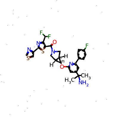 CC(C)(N)c1cc(O[C@@H]2[C@@H]3CN(C(=O)c4sc(-c5cscn5)nc4C(F)F)C[C@@H]32)nc(-c2ccc(F)cc2)c1